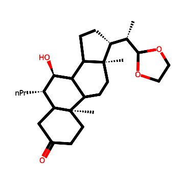 CCC[C@H]1C2CC(=O)CC[C@]2(C)C2CC[C@@]3(C)C(CC[C@@H]3[C@H](C)C3OCCO3)C2[C@@H]1O